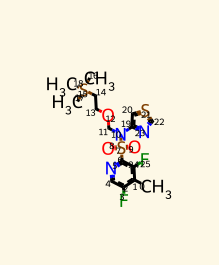 Cc1c(F)cnc(S(=O)(=O)N(COCCS(C)(C)C)c2cscn2)c1F